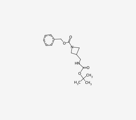 CC(C)(C)OC(=O)NCC1CN(C(=O)OCc2ccccc2)C1